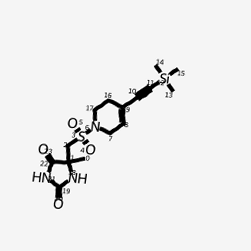 CC1(CS(=O)(=O)N2CC=C(C#C[Si](C)(C)C)CC2)NC(=O)NC1=O